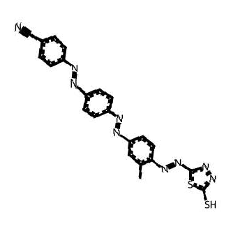 Cc1cc(N=Nc2ccc(N=Nc3ccc(C#N)cc3)cc2)ccc1N=Nc1nnc(S)s1